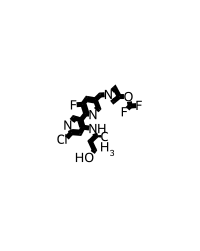 C[C@@H](CCO)Nc1cc(Cl)ncc1-c1ncc(CN2CC(OC(F)F)C2)cc1F